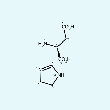 C1=NCCN1.N[C@@H](CC(=O)O)C(=O)O